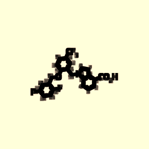 O=C(O)c1cccc2c1ccn2Cc1cc(C(F)(F)F)ccc1OCc1cc(F)ccc1F